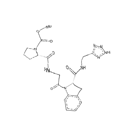 CC(C)(C)OC(=O)N1CCC[C@H]1C(=O)NCC(=O)N1c2ccccc2C[C@H]1C(=O)NCc1nn[nH]n1